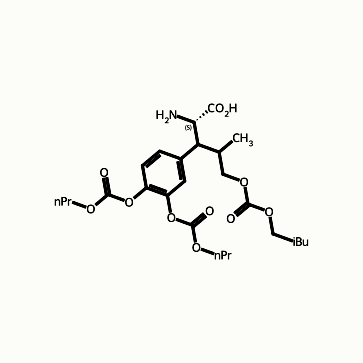 CCCOC(=O)Oc1ccc(C(C(C)COC(=O)OCC(C)CC)[C@H](N)C(=O)O)cc1OC(=O)OCCC